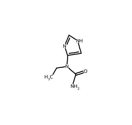 CCN(C(N)=O)c1c[nH]cn1